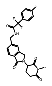 [CH2]N1C(=O)CCC(N2Cc3cc(CNC(=O)C(F)(F)c4ccc(F)cc4)ccc3C2=O)C1=O